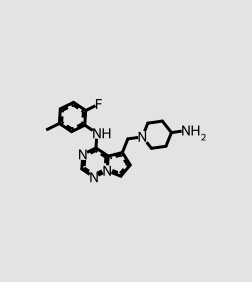 Cc1ccc(F)c(Nc2ncnn3ccc(CN4CCC(N)CC4)c23)c1